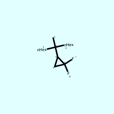 CCCCCCC(C)(CCCCCC)C1CC1(F)F